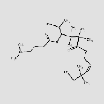 CC(C)CC(C)(C)/C=C\COC(=O)C(C)(N)C(C)(C)C(OC(=O)CCCN(C)C)C(C)C(C)C